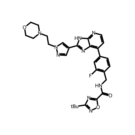 CC(C)(C)c1noc(C(=O)NCc2ccc(-c3ccnc4[nH]c(-c5cnn(CCN6CCOCC6)c5)nc34)cc2F)n1